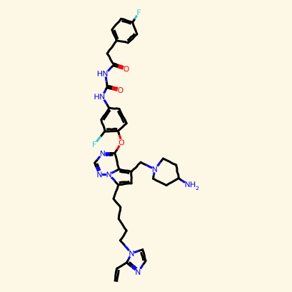 C=Cc1nccn1CCCCCc1cc(CN2CCC(N)CC2)c2c(Oc3ccc(NC(=O)NC(=O)Cc4ccc(F)cc4)cc3F)ncnn12